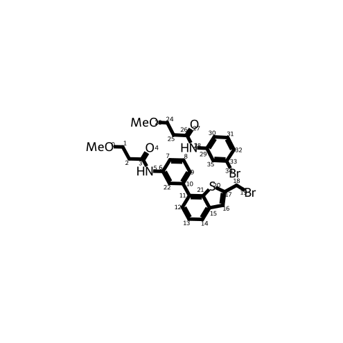 COCCC(=O)Nc1cccc(-c2cccc3cc(CBr)sc23)c1.COCCC(=O)Nc1cccc(Br)c1